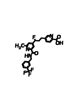 Cc1cc(C(F)CCc2ccc(C(=O)O)nc2)cc(C(=O)NCc2cccc(C(F)(F)F)c2)n1